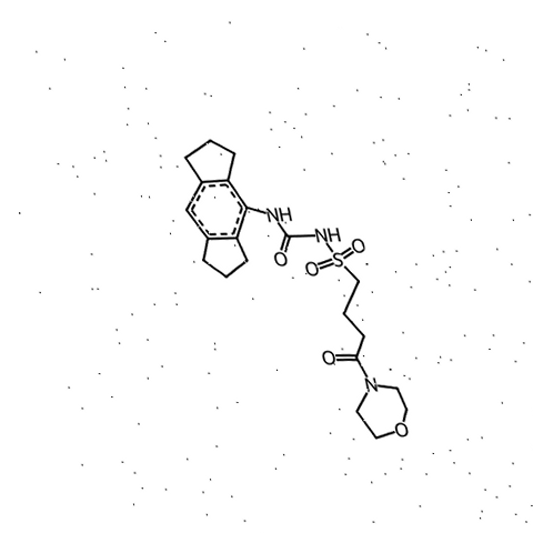 O=C(Nc1c2c(cc3c1CCC3)CCC2)NS(=O)(=O)CCCC(=O)N1CCOCC1